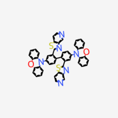 c1ccc2c(c1)Oc1ccccc1N2c1ccc(-c2ccc(N3c4ccccc4Oc4ccccc43)cc2-c2nc3cnccc3s2)c(-c2nc3cnccc3s2)c1